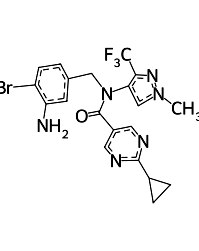 Cn1cc(N(Cc2ccc(Br)c(N)c2)C(=O)c2cnc(C3CC3)nc2)c(C(F)(F)F)n1